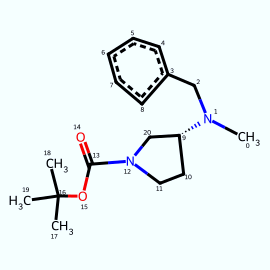 CN(Cc1ccccc1)[C@@H]1CCN(C(=O)OC(C)(C)C)C1